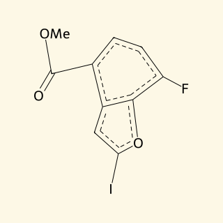 COC(=O)c1ccc(F)c2oc(I)cc12